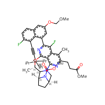 COCOc1cc(-c2nc3c4c(nc(CCC(=O)OC)c(C)c4c2F)N2C[C@H]4CC[C@@H]([C@H]2[C@H](C)O3)N4C(=O)OC(C)(C)C)c2c(C#C[Si](C(C)C)(C(C)C)C(C)C)c(F)ccc2c1